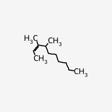 CC=C(C)C(C)CCCCCC